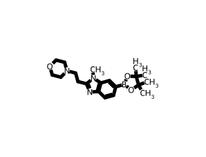 Cn1c(CCN2CCOCC2)nc2ccc(B3OC(C)(C)C(C)(C)O3)cc21